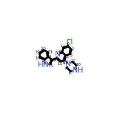 Clc1ccc2c(N3CCNCC3)cc(-c3c[nH]c4ccccc34)nc2c1